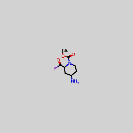 CC(C)(C)OC(=O)N1CCC(N)CC1C(=O)I